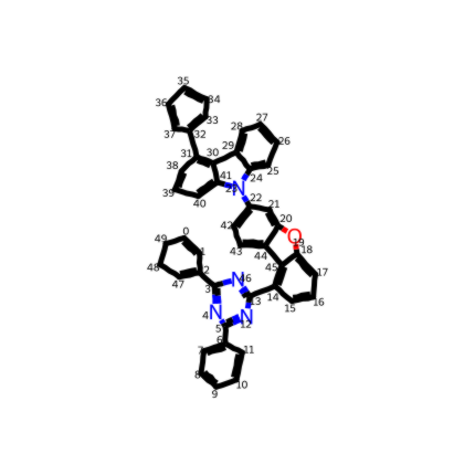 C1=CC(c2nc(-c3ccccc3)nc(-c3cccc4oc5cc(-n6c7ccccc7c7c(-c8ccccc8)cccc76)ccc5c34)n2)=CCC1